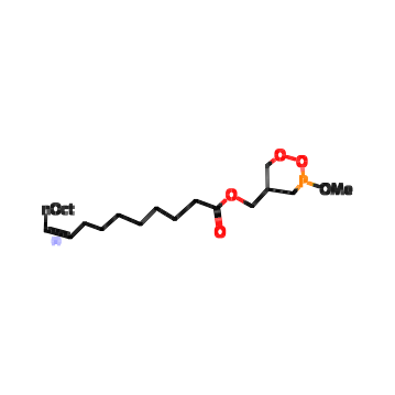 CCCCCCCC/C=C\CCCCCCCC(=O)OCC1COOP(OC)C1